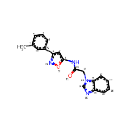 Cc1cccc(-c2cc(NC(=O)Cn3cnc4ccccc43)on2)c1